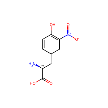 N[C@@H](CC1C=CC(O)=C([N+](=O)[O-])C1)C(=O)O